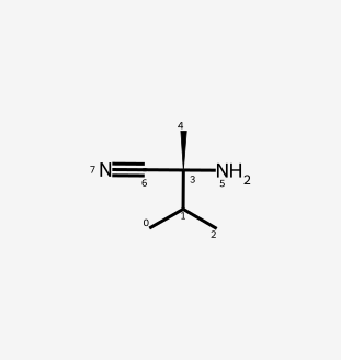 CC(C)[C@@](C)(N)C#N